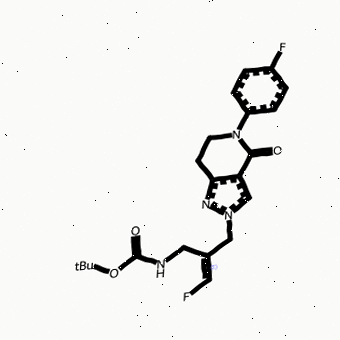 CC(C)(C)OC(=O)NC/C(=C\F)Cn1cc2c(n1)CCN(c1ccc(F)cc1)C2=O